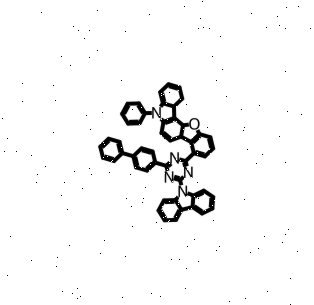 C1=CCC2C(=C1)N(c1ccccc1)C1=C2C2Oc3cccc(-c4nc(-c5ccc(-c6ccccc6)cc5)nc(-n5c6ccccc6c6ccccc65)n4)c3C2C=C1